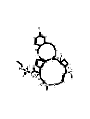 CCNS(=O)(=O)NC(=O)[C@@]1(O)CC(=O)N(C)CC/C=C/[C@H](OC)[C@@H]2CC[C@H]2CN2CCCCC3C=C(Cl)C=CC3COc3ccc1cc32